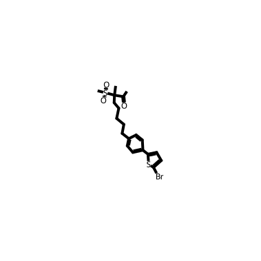 CC(=O)C(C)(CCCCCc1ccc(-c2ccc(Br)s2)cc1)S(C)(=O)=O